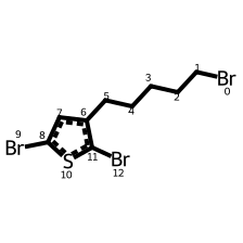 BrCCCCCc1cc(Br)sc1Br